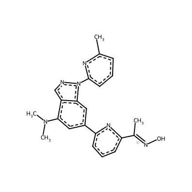 C/C(=N\O)c1cccc(-c2cc(N(C)C)c3cnn(-c4cccc(C)n4)c3c2)n1